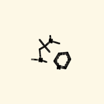 CN(C)CC(C)(C)N(C)C.c1ccncc1